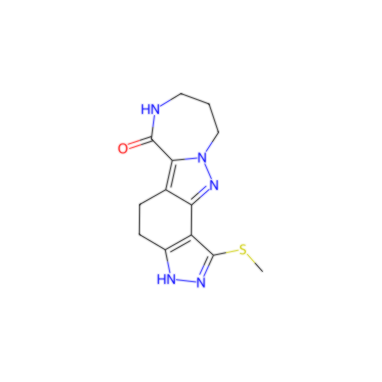 CSc1n[nH]c2c1-c1nn3c(c1CC2)C(=O)NCCC3